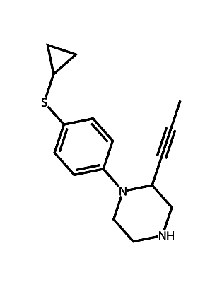 CC#CC1CNCCN1c1ccc(SC2CC2)cc1